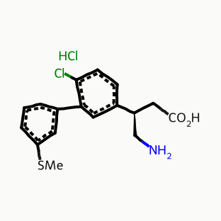 CSc1cccc(-c2cc([C@H](CN)CC(=O)O)ccc2Cl)c1.Cl